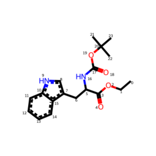 CCOC(=O)C(Cc1c[nH]c2ccccc12)NC(=O)OC(C)(C)C